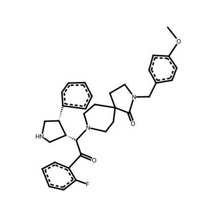 COc1ccc(CN2CCC3(CCN(C(C(=O)c4ccccc4F)[C@@H]4CNC[C@@H]4c4ccccc4)CC3)C2=O)cc1